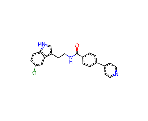 O=C(NCCc1c[nH]c2ccc(Cl)cc12)c1ccc(-c2ccncc2)cc1